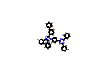 c1ccc(-c2nc(-c3ccccc3)nc(-c3ccc(-n4c(-c5ccc6sc7ccccc7c6c5)nc5c6ccccc6c6ccccc6c54)cc3)n2)cc1